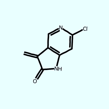 C=C1C(=O)Nc2cc(Cl)ncc21